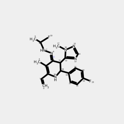 C=CC1=C(C)/C(=N\NC(C)F)C(c2ncnn2C)C(c2ccc(F)cc2)N1